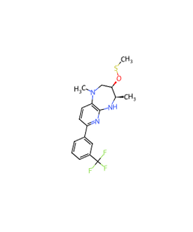 CSO[C@@H]1CN(C)c2ccc(-c3cccc(C(F)(F)F)c3)nc2N[C@@H]1C